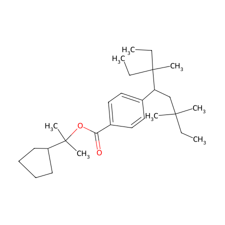 CCC(C)(C)CC(c1ccc(C(=O)OC(C)(C)C2CCCC2)cc1)C(C)(CC)CC